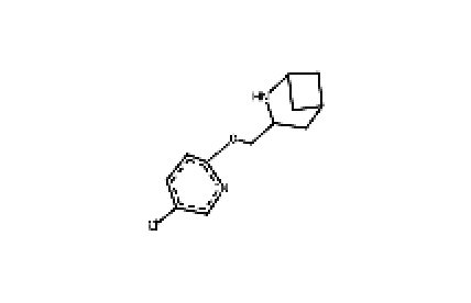 Clc1ccc(OCC2CC3CC(C3)N2)nc1